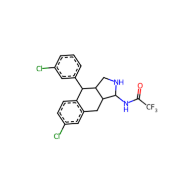 O=C(NC1NCC2C(c3cccc(Cl)c3)c3ccc(Cl)cc3CC12)C(F)(F)F